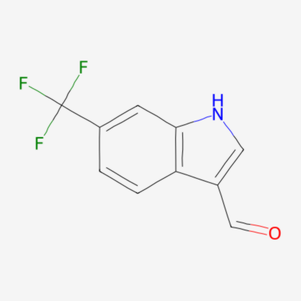 O=Cc1c[nH]c2cc(C(F)(F)F)ccc12